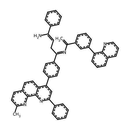 C=C(/N=C(\C/C=C(\N)c1ccccc1)c1ccc(-c2cc(-c3ccccc3)nc3c2ccc2ccc(C)nc23)cc1)c1cccc(-c2cccc3cccnc23)c1